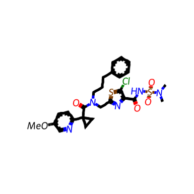 COc1ccc(C2(C(=O)N(CCCc3ccccc3)Cc3nc(C(=O)NS(=O)(=O)N(C)C)c(Cl)s3)CC2)nc1